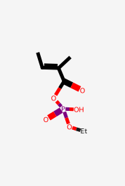 CC=C(C)C(=O)OP(=O)(O)OCC